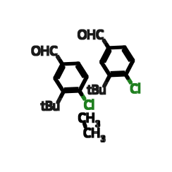 CC.CC(C)(C)c1cc(C=O)ccc1Cl.CC(C)(C)c1cc(C=O)ccc1Cl